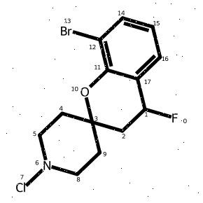 FC1CC2(CCN(Cl)CC2)Oc2c(Br)cccc21